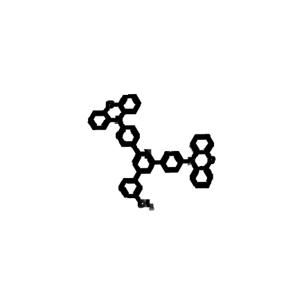 Cc1cccc(-c2cc(-c3ccc(N4c5ccccc5Oc5ccccc54)cc3)nc(-c3ccc(N4c5ccccc5Oc5ccccc54)cc3)c2)c1